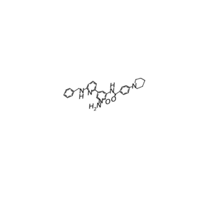 Nn1cc(-c2cccc(NCc3ccccc3)n2)cc(NC(=O)c2ccc(N3CCCCC3)cc2)c1=O